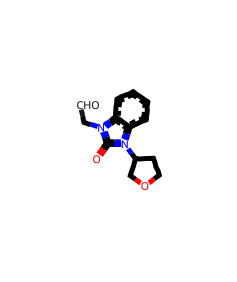 O=CCn1c(=O)n(C2CCOC2)c2ccccc21